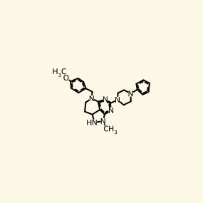 COc1ccc(CN2CCC3NN(C)c4nc(N5CCN(c6ccccc6)CC5)nc2c43)cc1